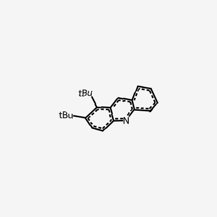 CC(C)(C)c1ccc2nc3ccccc3cc2c1C(C)(C)C